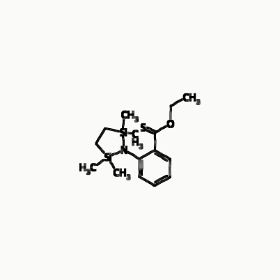 CCOC(=S)c1ccccc1N1[Si](C)(C)CC[Si]1(C)C